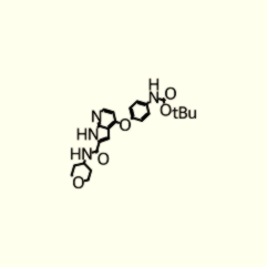 CC(C)(C)OC(=O)Nc1ccc(Oc2ccnc3[nH]c(C(=O)NC4CCOCC4)cc23)cc1